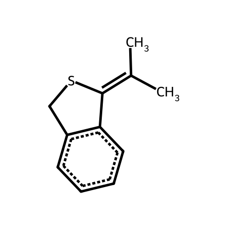 CC(C)=C1SCc2ccccc21